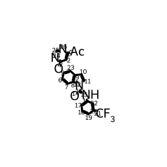 CC(=O)c1cc(Oc2ccc3c(ccn3C(=O)Nc3cccc(C(F)(F)F)c3)c2)ncn1